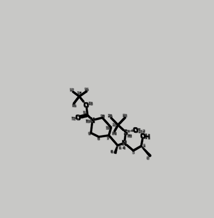 C[C@H](O)CN([C@@H](C)C1CCN(C(=O)OC(C)(C)C)CC1)[S@@+]([O-])C(C)(C)C